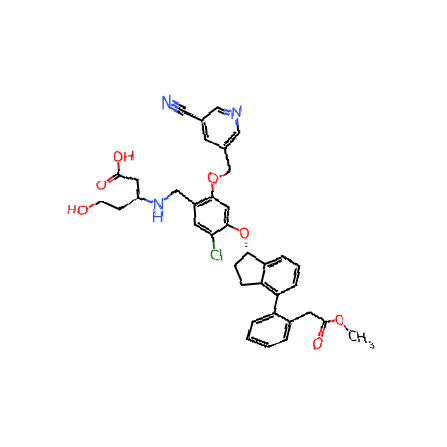 COC(=O)Cc1ccccc1-c1cccc2c1CC[C@@H]2Oc1cc(OCc2cncc(C#N)c2)c(CN[C@@H](CCO)CC(=O)O)cc1Cl